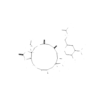 CC[C@H]1OC(=O)[C@H](C)C(=O)[C@H](C)[C@@H](O[C@@H]2OC(CNC(C)C)CC(N(C)C)C2O)[C@](C)(OC)C[C@@H](C)CN[C@H](C)[C@H]2NC(=O)O[C@@]21C